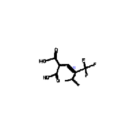 CC(C)/C(=C\C(C(=O)O)C(=O)O)C(F)(F)F